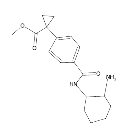 COC(=O)C1(c2ccc(C(=O)NC3CCCCC3N)cc2)CC1